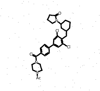 CC(=O)N1CCN(C(=O)c2ccc(-c3cc(Cl)c(CC4CCCC(N5CCCC5=O)C4)c(Cl)c3)cc2)CC1